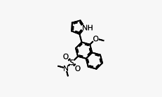 COc1c(-c2ccc[nH]2)cc(S(=O)(=O)N(C)C)c2ccccc12